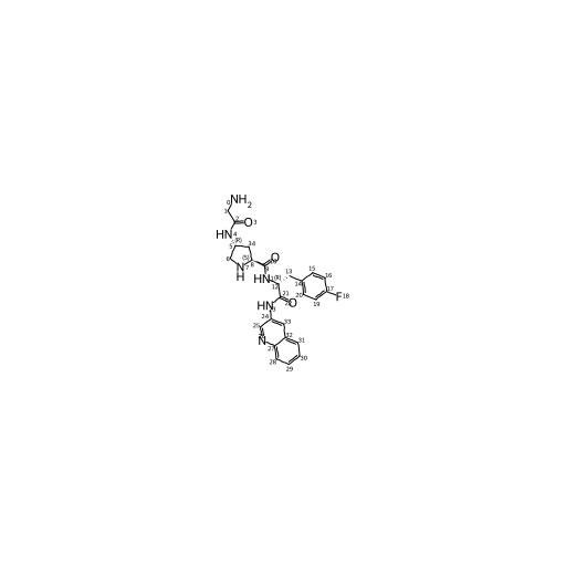 NCC(=O)N[C@H]1CN[C@H](C(=O)N[C@H](Cc2ccc(F)cc2)C(=O)Nc2cnc3ccccc3c2)C1